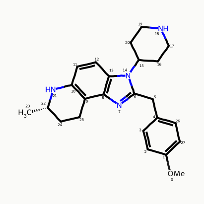 COc1ccc(Cc2nc3c4c(ccc3n2C2CCNCC2)N[C@@H](C)CC4)cc1